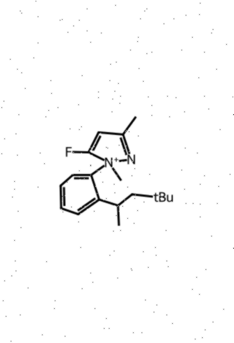 CC1=N[N+](C)(c2ccccc2C(C)CC(C)(C)C)C(F)=C1